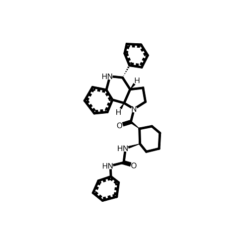 O=C(Nc1ccccc1)N[C@@H]1CCCC[C@@H]1C(=O)N1CC[C@H]2[C@@H](c3ccccc3)Nc3ccccc3[C@H]21